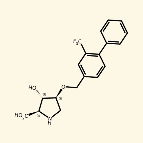 O=C(O)[C@@H]1NC[C@H](OCc2ccc(-c3ccccc3)c(C(F)(F)F)c2)[C@H]1O